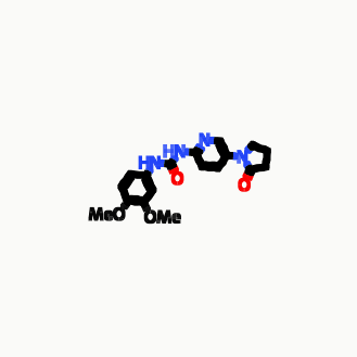 COc1ccc(NC(=O)Nc2ccc(N3CCCC3=O)cn2)cc1OC